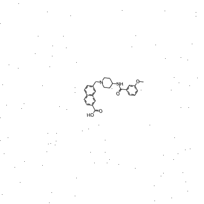 COc1cccc(C(=O)NC2CCN(Cc3ccc4ccc(C(=O)O)cc4c3)CC2)c1